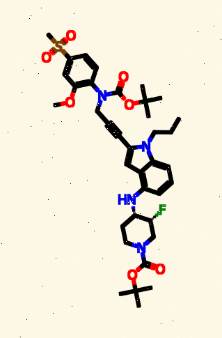 CCCn1c(C#CCN(C(=O)OC(C)(C)C)c2ccc(S(C)(=O)=O)cc2OC)cc2c(N[C@H]3CCN(C(=O)OC(C)(C)C)C[C@H]3F)cccc21